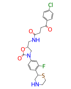 O=C(CCC(=O)c1ccc(Cl)cc1)NCC1CN(c2ccc(C3CNCCS3)c(F)c2)C(=O)O1